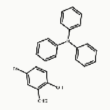 O=Cc1cc(Br)ccc1O.c1ccc(N(c2ccccc2)c2ccccc2)cc1